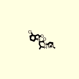 CC(C)CC(C(=O)Nc1ccn(C)n1)N1C(=O)Cc2c(Cl)cccc21